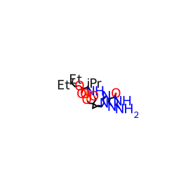 CCC(CC)COC(=O)C(NP1(=O)OCC2(CO1)C/C2=C/n1cnc2c(=O)[nH]c(N)nc21)C(C)C